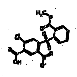 COC(=O)c1ccccc1S(=O)(=O)c1cc(Cl)c(C(=O)O)cc1[N+](=O)[O-]